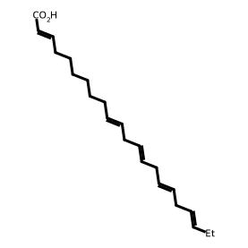 CCC=CCC=CCC=CCC=CCCCCCCC=CC(=O)O